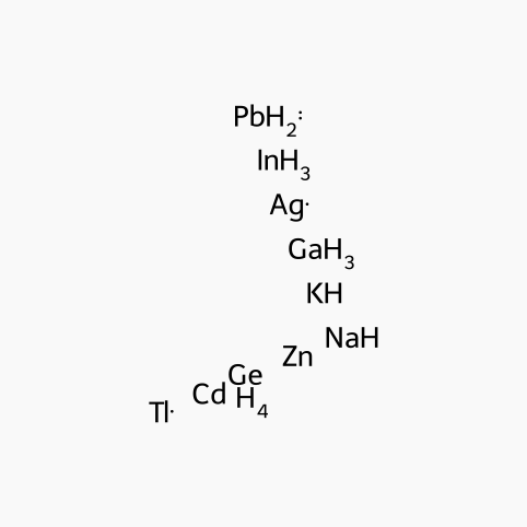 [Ag].[Cd].[GaH3].[GeH4].[InH3].[KH].[NaH].[PbH2].[Tl].[Zn]